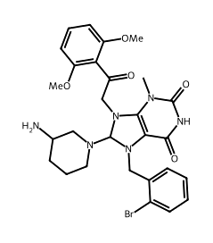 COc1cccc(OC)c1C(=O)CN1c2c(c(=O)[nH]c(=O)n2C)N(Cc2ccccc2Br)C1N1CCCC(N)C1